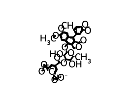 COc1cc2c(OC3O[C@H](C)[C@@H](O)[C@H](OC(=O)c4cc([N+](=O)[O-])cc([N+](=O)[O-])c4)[C@H]3O)c3c(c(-c4ccc5c(c4)OCO5)c2cc1OC)C(=O)OC3